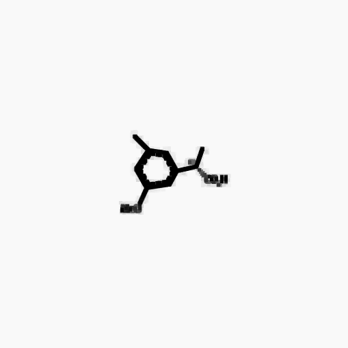 COc1cc(C)cc([C@H](C)C(=O)O)c1